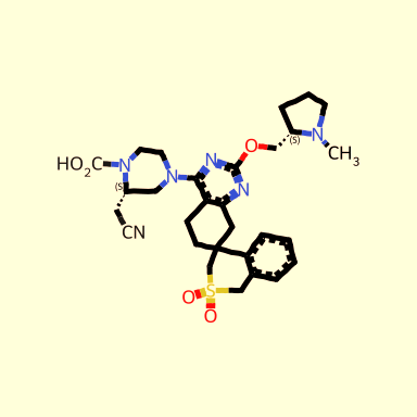 CN1CCC[C@H]1COc1nc2c(c(N3CCN(C(=O)O)[C@@H](CC#N)C3)n1)CCC1(C2)CS(=O)(=O)Cc2ccccc21